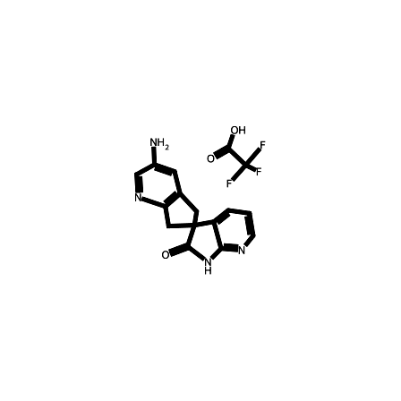 Nc1cnc2c(c1)CC1(C2)C(=O)Nc2ncccc21.O=C(O)C(F)(F)F